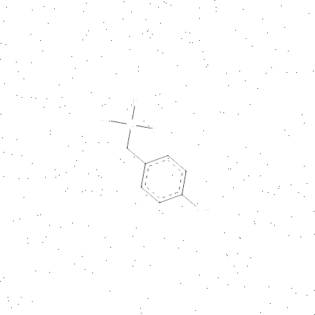 Cc1ccc(C[Si](Br)(Br)Br)cc1